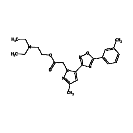 CCN(CC)CCOC(=O)Cn1nc(C)cc1-c1noc(-c2cccc(C)c2)n1